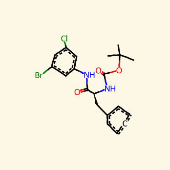 CC(C)(C)OC(=O)N[C@@H](Cc1ccccc1)C(=O)Nc1cc(Cl)cc(Br)c1